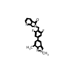 Cc1cc(-c2cc(F)c(CN3Cc4ncccc4C3=O)c(F)c2)cc2cn(C)nc12